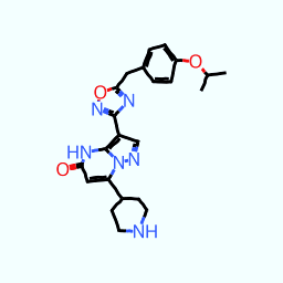 CC(C)Oc1ccc(Cc2nc(-c3cnn4c(C5CCNCC5)cc(=O)[nH]c34)no2)cc1